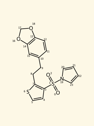 O=S(=O)(c1ccsc1CCc1ccc2c(c1)OCO2)n1cccc1